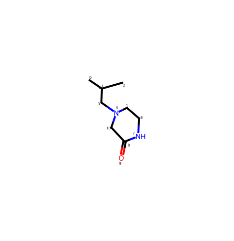 C[C](C)CN1CCNC(=O)C1